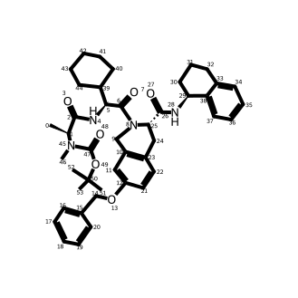 C[C@@H](C(=O)N[C@H](C(=O)N1Cc2cc(OCc3ccccc3)ccc2C[C@H]1C(=O)N[C@H]1CCCc2ccccc21)C1CCCCC1)N(C)C(=O)OC(C)(C)C